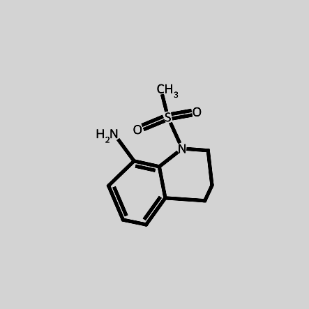 CS(=O)(=O)N1CCCc2cccc(N)c21